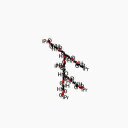 CC(C)C(=O)CCC(=O)NCCNC(=O)CCOCC(COCCC(=O)NCCNC(=O)CCC(=O)C(C)C)NC(=O)CCOCC(COCCC(=O)NC(COCCC(=O)NCCNC(=O)CCC(=O)C(C)C)COCCC(=O)NCCNC(=O)CCC(=O)C(C)C)NC(=O)C(C)C